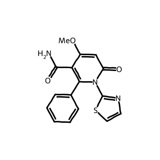 COc1cc(=O)n(-c2nccs2)c(-c2ccccc2)c1C(N)=O